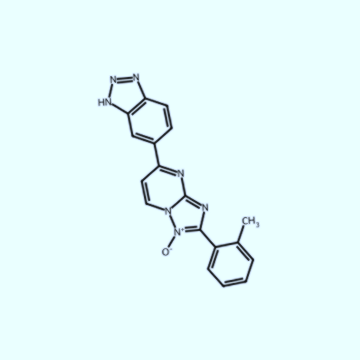 Cc1ccccc1-c1nc2nc(-c3ccc4nn[nH]c4c3)ccn2[n+]1[O-]